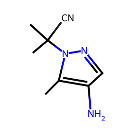 Cc1c(N)cnn1C(C)(C)C#N